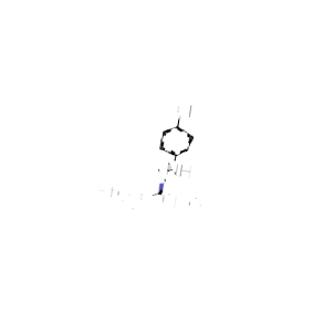 CCOC(=O)/C(C=O)=N/Nc1ccc(C(F)(F)F)cc1